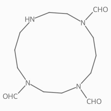 O=CN1CCCN(C=O)CCN(C=O)CCCNCC1